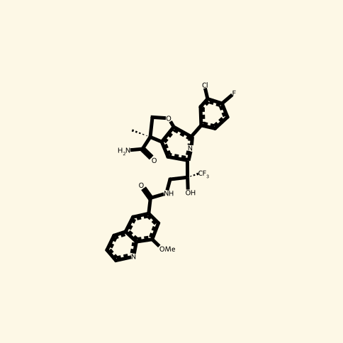 COc1cc(C(=O)NC[C@](O)(c2cc3c(c(-c4ccc(F)c(Cl)c4)n2)OC[C@]3(C)C(N)=O)C(F)(F)F)cc2cccnc12